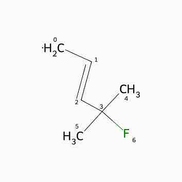 [CH2]C=CC(C)(C)F